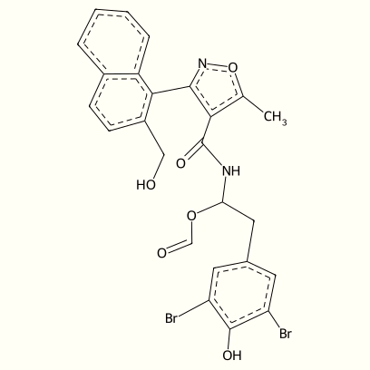 Cc1onc(-c2c(CO)ccc3ccccc23)c1C(=O)NC(Cc1cc(Br)c(O)c(Br)c1)OC=O